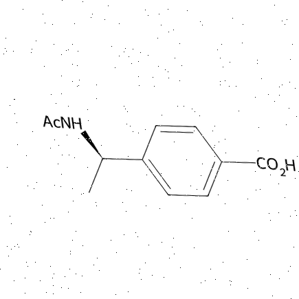 CC(=O)N[C@H](C)c1ccc(C(=O)O)cc1